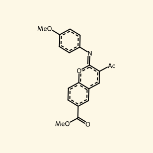 COC(=O)c1ccc2o/c(=N\c3ccc(OC)cc3)c(C(C)=O)cc2c1